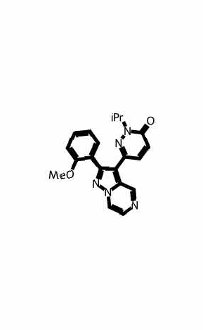 COc1ccccc1-c1nn2ccncc2c1-c1ccc(=O)n(C(C)C)n1